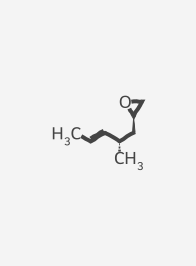 C/C=C/[C@@H](C)C[C@@H]1CO1